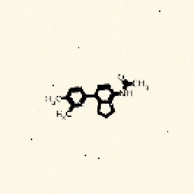 CC(=O)Nc1ccc(-c2ccc(C)c(C)c2)c2c1CCC2